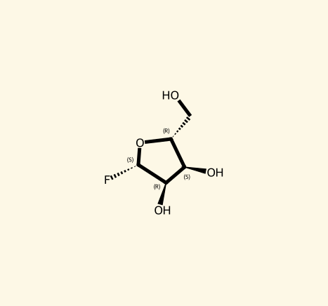 OC[C@H]1O[C@@H](F)[C@H](O)[C@@H]1O